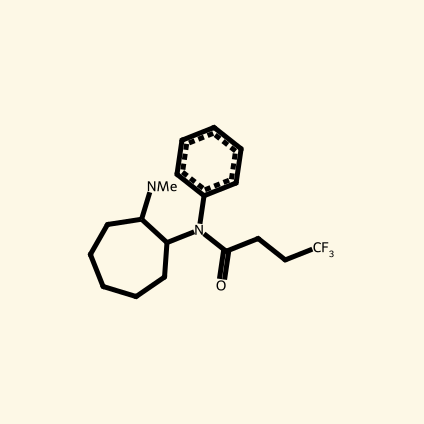 CNC1CCCCCC1N(C(=O)CCC(F)(F)F)c1ccccc1